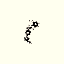 CCCCc1cn(-c2ccc(NC(=O)Nc3ccccc3C(F)(F)F)cn2)nn1